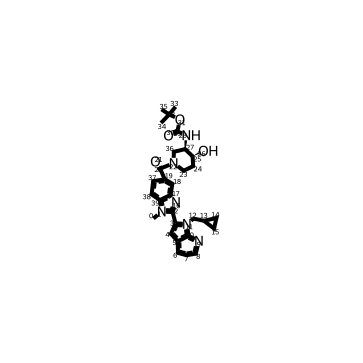 Cn1c(-c2cc3cccnc3n2CC2CC2)nc2cc(C(=O)N3CC[C@@H](O)[C@H](NC(=O)OC(C)(C)C)C3)ccc21